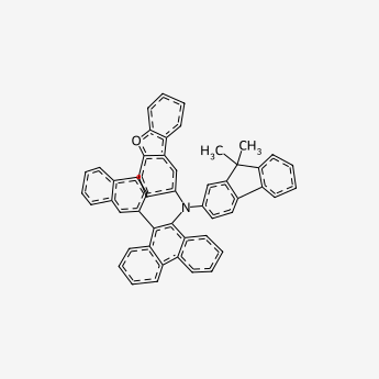 CC1(C)c2ccccc2-c2ccc(N(c3ccc4oc5ccccc5c4c3)c3c(-c4ccc5ccccc5c4)c4ccccc4c4ccccc34)cc21